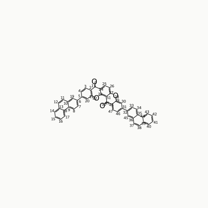 O=c1c2ccc(-c3ccc4c(ccc5ccccc54)c3)cc2oc2c1ccc1oc3cc(-c4ccc5c(ccc6ccccc65)c4)ccc3c(=O)c12